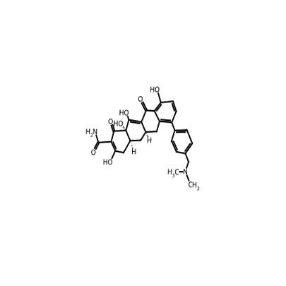 CN(C)Cc1ccc(-c2ccc(O)c3c2C[C@H]2C[C@H]4CC(O)=C(C(N)=O)C(=O)[C@@]4(O)C(O)=C2C3=O)cc1